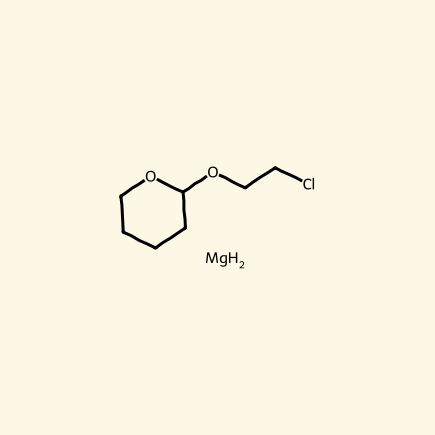 ClCCOC1CCCCO1.[MgH2]